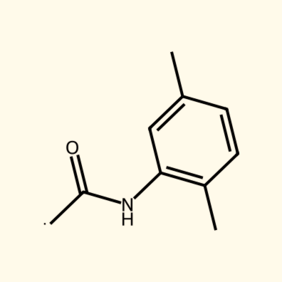 [CH2]C(=O)Nc1cc(C)ccc1C